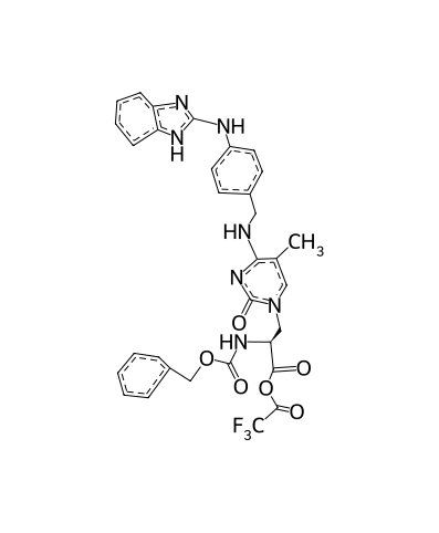 Cc1cn(C[C@H](NC(=O)OCc2ccccc2)C(=O)OC(=O)C(F)(F)F)c(=O)nc1NCc1ccc(Nc2nc3ccccc3[nH]2)cc1